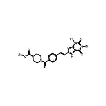 CCn1c(=O)c2[nH]c(C=Cc3ccc(C(=O)N4CCN(C(=O)OC(C)(C)C)CC4)cc3)nc2n(CC)c1=O